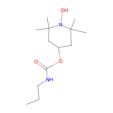 CCCNC(=O)OC1CC(C)(C)N(O)C(C)(C)C1